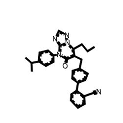 CCCc1c(Cc2ccc(-c3ccccc3C#N)cc2)c(=O)n(-c2ccc(C(C)C)cc2)c2ncnn12